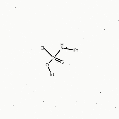 CCOP(=S)(Cl)NC(C)C